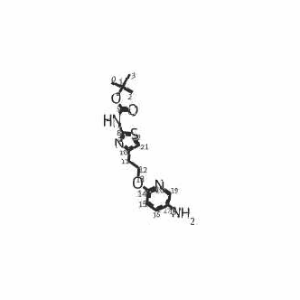 CC(C)(C)OC(=O)Nc1nc(CCOc2ccc(N)cn2)cs1